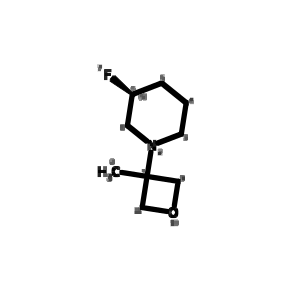 CC1(N2CCC[C@H](F)C2)COC1